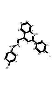 Fc1ccc(NN=Cc2cc(-c3ccc(F)cc3)nc3ccccc23)cc1